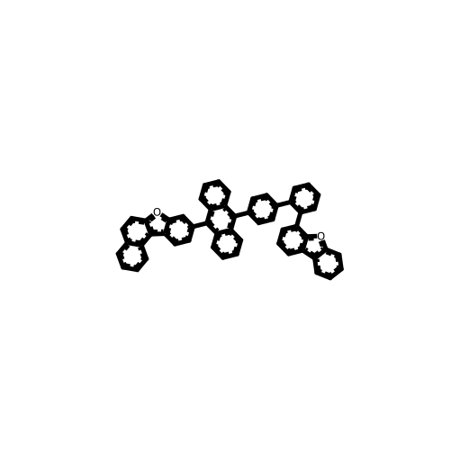 c1ccc(-c2cccc3c2oc2ccccc23)c(-c2ccc(-c3c4ccccc4c(-c4ccc5c(c4)oc4ccc6ccccc6c45)c4ccccc34)cc2)c1